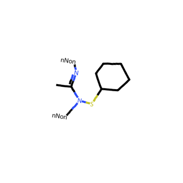 CCCCCCCCCN=C(C)N(CCCCCCCCC)SC1CCCCC1